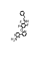 Nc1nccc(-c2cccnc2Oc2cc(F)c(NSCc3ccccc3)c(F)c2F)n1